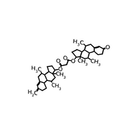 C=C1C=C2CC(C)C3C(C(C)CC4(C)C(OC(=O)CC(=O)OC5CCC6C7C(C)CC8=CC(=O)CCC8C7C(C)CC56C)CCC34)C2CC1